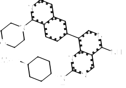 CO[C@H]1CC[C@H](Nc2ncc3c(N)ncc(-c4ccc5c(N6CCOCC6)nccc5c4)c3n2)CC1